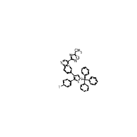 Cc1nc(-c2cnc3ccc(-c4cn(C(c5ccccc5)(c5ccccc5)c5ccccc5)nc4-c4ccc(F)cc4)cn23)no1